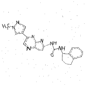 Cn1cc(-c2cnc3ccc(NC(=O)NC4CCCc5ccccc54)nc3n2)cn1